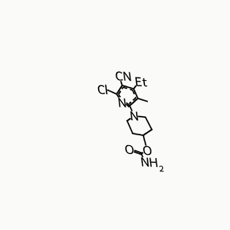 CCc1c(C)c(N2CCC(OC(N)=O)CC2)nc(Cl)c1C#N